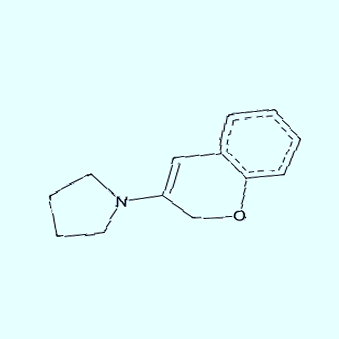 C1=C(N2CCCC2)COc2ccccc21